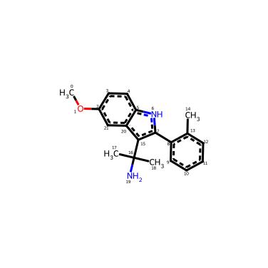 COc1ccc2[nH]c(-c3ccccc3C)c(C(C)(C)N)c2c1